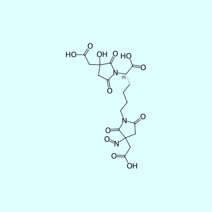 O=NC1(CC(=O)O)CC(=O)N(CCCC[C@@H](C(=O)O)N2C(=O)CC(O)(CC(=O)O)C2=O)C1=O